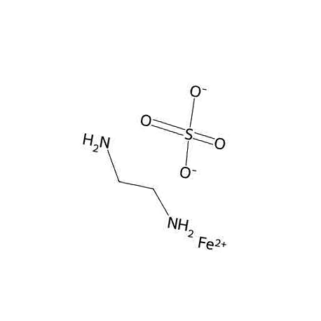 NCCN.O=S(=O)([O-])[O-].[Fe+2]